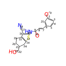 COc1cccc(/C=C/C(=O)Nc2sc3c(c2C#N)CCC(CO)C3)c1